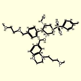 COCCCN1CCOc2ccc(CO[C@H]3CN(S(=O)(=O)c4ccc(C)cc4)C[C@@H](CBr)[C@@H]3c3ccc(COCCOC)cc3)cc21